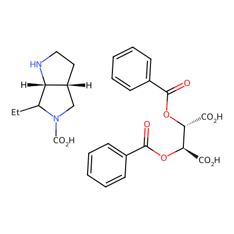 CCC1[C@@H]2NCC[C@@H]2CN1C(=O)O.O=C(O[C@H](C(=O)O)[C@H](OC(=O)c1ccccc1)C(=O)O)c1ccccc1